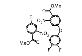 COC(=O)c1ccc(F)cc1[N+](=O)[O-].COC(=O)c1ccc(Oc2ccc(F)c(F)c2)cc1[N+](=O)[O-]